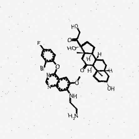 COc1cc2c(Oc3ccc(F)cc3Br)ncnc2cc1NCCN.C[C@]12CC[C@@H](O)C[C@H]1CC[C@@H]1[C@@H]2C(=O)C[C@@]2(C)[C@H]1CC[C@]2(O)C(=O)CO